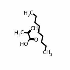 C=C(C)C(=O)O.CCCCCCCCC